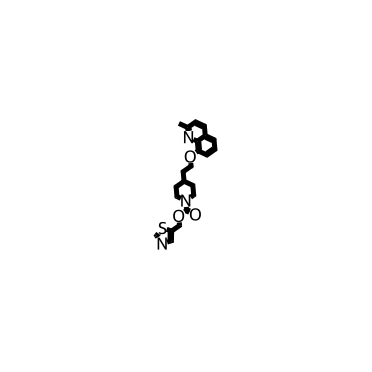 Cc1ccc2cccc(OCCC3CCN(C(=O)OCc4cncs4)CC3)c2n1